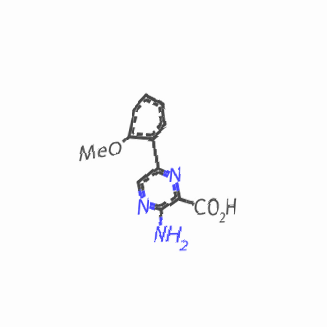 COc1ccccc1-c1cnc(N)c(C(=O)O)n1